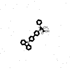 C[C@@]1(C(=O)O)[C@@H](c2ccccc2)[C@@H]1c1ccc(-c2ccc(-n3c4ccccc4c4ccccc43)cc2)cc1